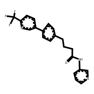 O=C(CCCc1ccc(-c2ccc(C(F)(F)F)nc2)cc1)Nc1cccnc1